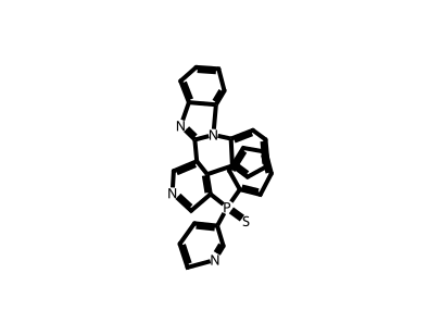 S=P(c1ccccc1)(c1cccnc1)c1cncc2c1c1ccccc1n1c3ccccc3nc21